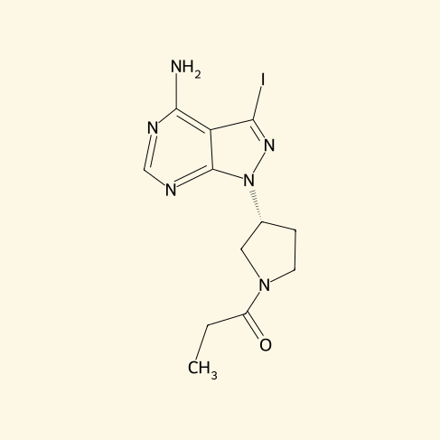 CCC(=O)N1CC[C@@H](n2nc(I)c3c(N)ncnc32)C1